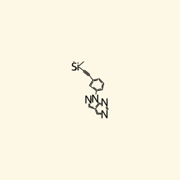 C[Si](C)(C)C#Cc1cccc(-n2ncc3cncnc32)c1